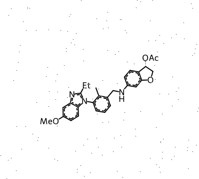 CCc1nc2cc(OC)ccc2n1-c1cccc(CNc2ccc3c(c2)OC[C@H]3OC(C)=O)c1C